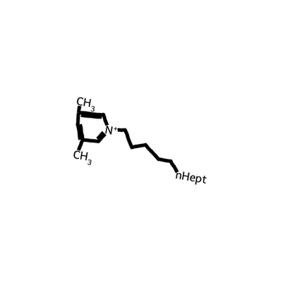 CCCCCCCCCCCC[n+]1cc(C)cc(C)c1